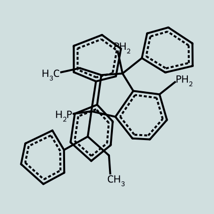 CCC(c1ccccc1)C(P)(c1ccccc1)c1cccc(P)c1C(P)(c1ccccc1)C(CC)c1ccccc1